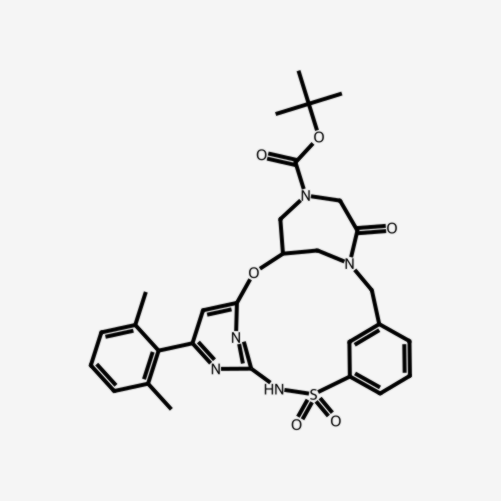 Cc1cccc(C)c1-c1cc2nc(n1)NS(=O)(=O)c1cccc(c1)CN1CC(CN(C(=O)OC(C)(C)C)CC1=O)O2